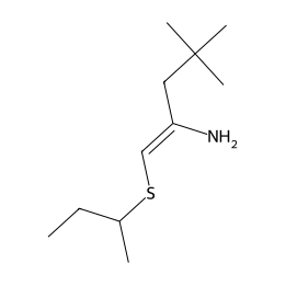 CCC(C)S/C=C(\N)CC(C)(C)C